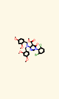 COC(=O)c1c(N(Cc2ccc(OC)cc2OC)Cc2ccc(OC)cc2OC)ncn(-c2c(Cl)cccc2Br)c1=O